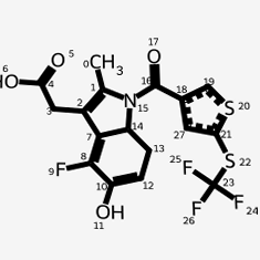 CC1=C(CC(=O)O)C2=C(F)C(O)=CCC2N1C(=O)c1csc(SC(F)(F)F)c1